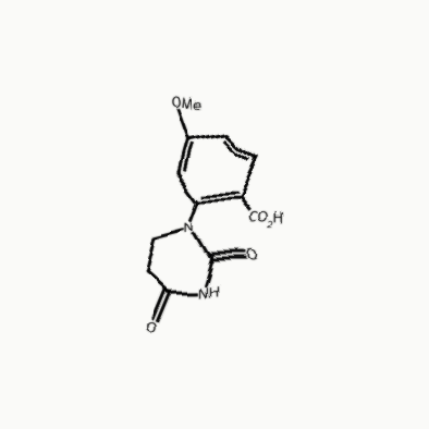 COc1ccc(C(=O)O)c(N2CCC(=O)NC2=O)c1